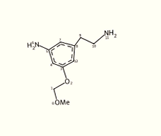 COCOc1cc(N)cc(CCN)c1